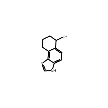 CC(C)C1CCCc2c1ccc1[nH]cnc21